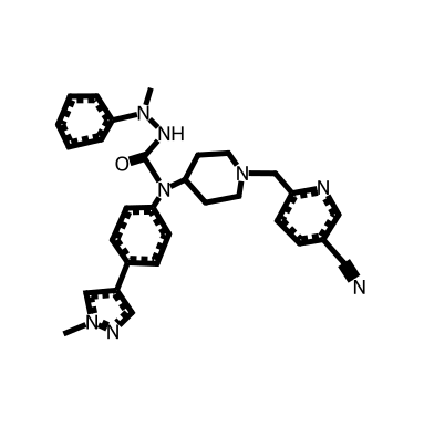 CN(NC(=O)N(c1ccc(-c2cnn(C)c2)cc1)C1CCN(Cc2ccc(C#N)cn2)CC1)c1ccccc1